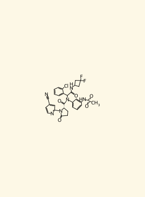 CS(=O)(=O)Nc1cccc(N(C(=O)[C@@H]2CCC(=O)N2c2cc(C#N)ccn2)[C@H](C(=O)NC2CC(F)(F)C2)c2ccccc2Cl)c1